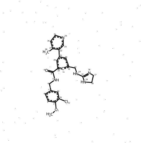 COc1ccc(CNC(=O)c2cc(CNC3=NCCN3)cc(-c3cnccc3C)c2)cc1Cl